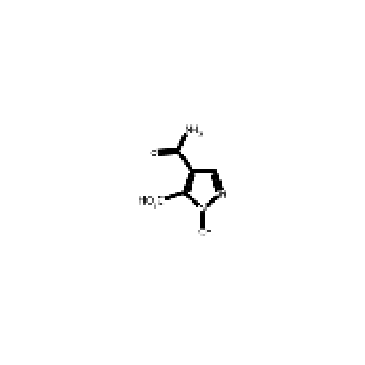 Cn1ncc(C(N)=O)c1C(=O)O